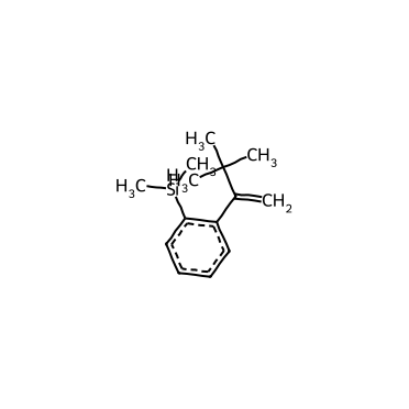 C=C(c1ccccc1[SiH](C)C)C(C)(C)C